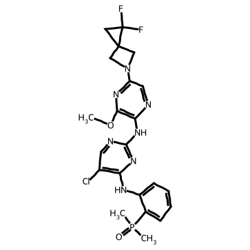 COc1nc(N2CC3(C2)CC3(F)F)cnc1Nc1ncc(Cl)c(Nc2ccccc2P(C)(C)=O)n1